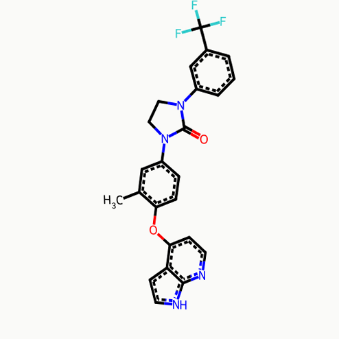 Cc1cc(N2CCN(c3cccc(C(F)(F)F)c3)C2=O)ccc1Oc1ccnc2[nH]ccc12